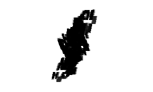 CCc1cnn(-c2nc(N[C@H]3CC[C@H](Nc4nc(-n5ncc(CC)n5)nc5c4ncn5[C@@H]4C[C@H](n5ncc(CC)n5)[C@@H](O)[C@H]4O)CC3)c3ncn([C@@H]4C[C@H](n5ncc(CC)n5)[C@@H](O)[C@H]4O)c3n2)n1